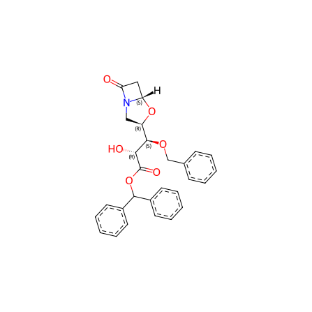 O=C(OC(c1ccccc1)c1ccccc1)[C@H](O)[C@H](OCc1ccccc1)[C@H]1CN2C(=O)C[C@@H]2O1